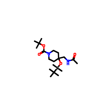 CC(=O)NCC1(O[Si](C)(C)C(C)(C)C)CCN(C(=O)OC(C)(C)C)CC1